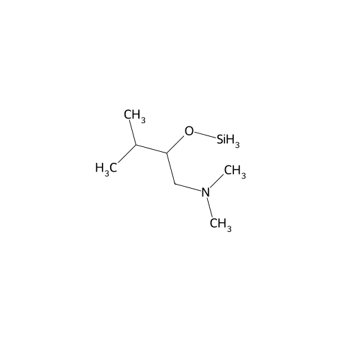 CC(C)C(CN(C)C)O[SiH3]